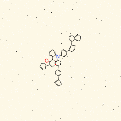 c1cc2c(oc3ccccc32)c(-c2ccccc2N(C2=CC=C(c3ccc(-c4ccccc4)cc3)CC2)c2ccc(-c3cccc(-c4cccc5ccccc45)c3)cc2)c#1